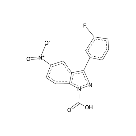 O=C(O)n1nc(-c2cccc(F)c2)c2cc([N+](=O)[O-])ccc21